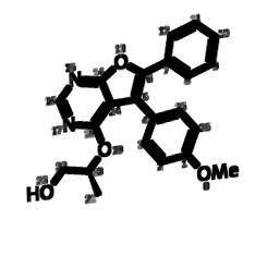 COc1ccc(-c2c(-c3ccccc3)oc3ncnc(O[C@@H](C)CO)c23)cc1